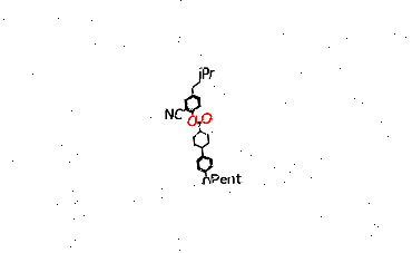 CCCCCc1ccc(C2CCC(C(=O)Oc3ccc(CCC(C)C)cc3C#N)CC2)cc1